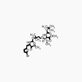 COC(=O)/C(=C\c1ccc(Br)o1)NC(=O)OC(C)(C)CCOP(=O)(OC)C(NC(=O)OC(C)(C)C)C(=O)OC